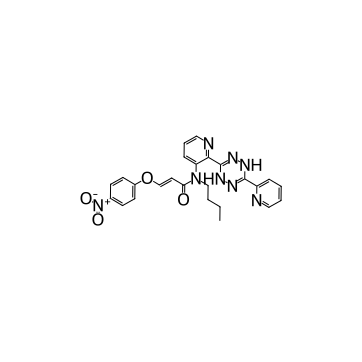 CCCCN(C(=O)/C=C/Oc1ccc([N+](=O)[O-])cc1)c1cccnc1C1=NNC(c2ccccn2)=NN1